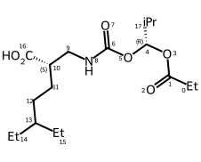 CCC(=O)O[C@H](OC(=O)NC[C@H](CCC(CC)CC)C(=O)O)C(C)C